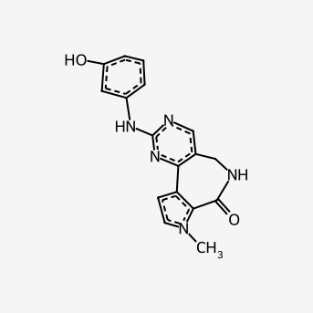 Cn1ccc2c1C(=O)NCc1cnc(Nc3cccc(O)c3)nc1-2